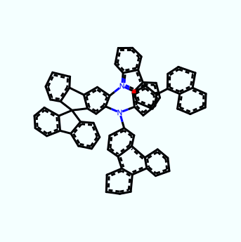 c1ccc2c(c1)-c1ccccc1C21c2ccccc2-c2cc(-n3c4ccccc4c4ccccc43)c(N(c3ccc(-c4cccc5ccccc45)cc3)c3ccc4c5ccccc5c5ccccc5c4c3)cc21